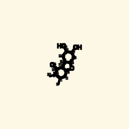 Cc1cc2oc3cc(O)c(O)cc3c2c(=O)n1C